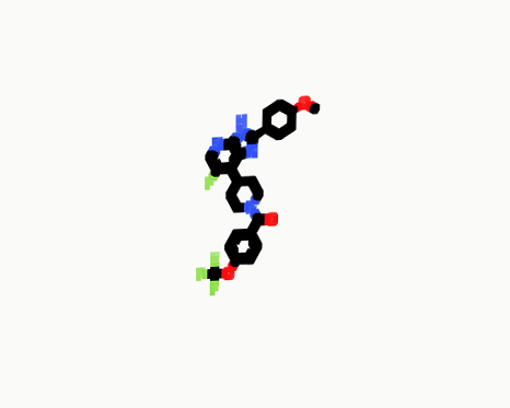 CO[C@H]1CC[C@@H](c2nc3c(C4CCN(C(=O)c5ccc(OC(F)(F)F)cc5)CC4)c(F)cnc3[nH]2)CC1